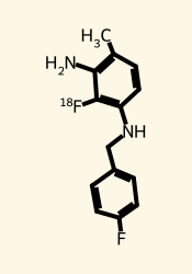 Cc1ccc(NCc2ccc(F)cc2)c([18F])c1N